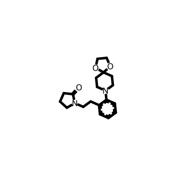 O=C1CCCN1CCc1ccccc1N1CCC2(CC1)OCCO2